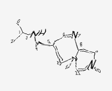 CC(C)NCc1cnc2cncn2c1